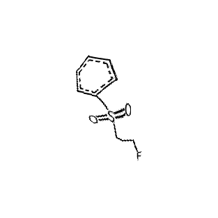 O=S(=O)(CCF)c1ccccc1